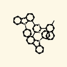 Cc1cc(-c2nc(-c3cccc4c5ccccc5n(-c5ccccc5)c34)cc(-c3cccc4c5ccccc5n(-c5ccccc5)c34)n2)c2ccccc2c1